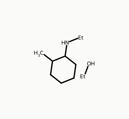 CCNC1CCCCC1C.CCO